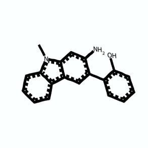 Cn1c2ccccc2c2cc(-c3ccccc3O)c(N)cc21